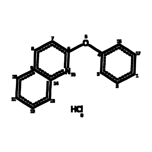 Cl.c1ccc(Oc2ccc3ccccc3n2)cc1